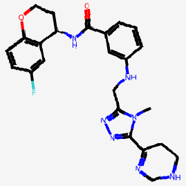 Cn1c(CNc2cccc(C(=O)N[C@@H]3CCOc4ccc(F)cc43)c2)nnc1C1=NCNCC1